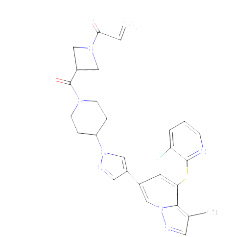 C=CC(=O)N1CC(C(=O)N2CCC(n3cc(-c4cc(Sc5ncccc5F)c5c(C#N)cnn5c4)cn3)CC2)C1